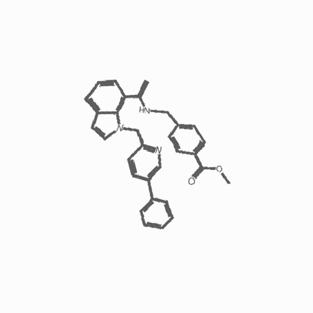 C=C(NCc1ccc(C(=O)OC)cc1)c1cccc2ccn(Cc3ccc(-c4ccccc4)cn3)c12